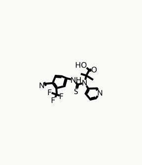 CC(C)(C(=O)O)N(C(=S)Nc1ccc(C#N)c(C(F)(F)F)c1)c1cccnc1